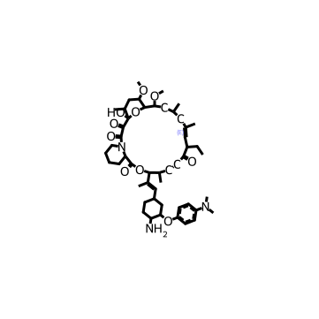 CCC1/C=C(\C)CC(C)CC(OC)C2OC(O)(C(=O)C(=O)N3CCCCC3C(=O)OC(C(C)=CC3CCC(N)C(Oc4ccc(N(C)C)cc4)C3)C(C)CCC1=O)C(C)CC2OC